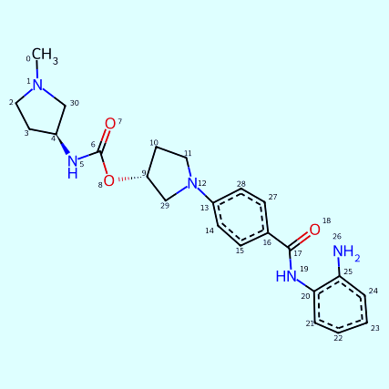 CN1CC[C@H](NC(=O)O[C@@H]2CCN(c3ccc(C(=O)Nc4ccccc4N)cc3)C2)C1